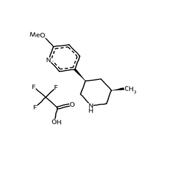 COc1ccc([C@@H]2CNC[C@H](C)C2)cn1.O=C(O)C(F)(F)F